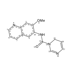 COc1cc2ncccc2cc1NC(=O)N1C=NC=CC1